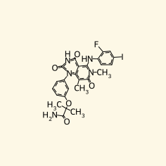 Cc1c(=O)n(C)c(Nc2ccc(I)cc2F)c2c(=O)[nH]c(=O)n(-c3cccc(OC(C)(C)C(N)=O)c3)c12